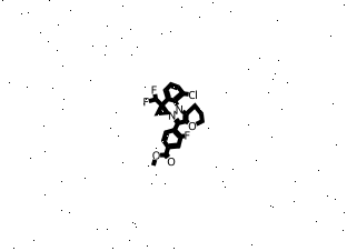 COC(=O)c1ccc(-c2nn(-c3c(Cl)cccc3C3(C(F)F)CC3)c3c2OCCC3)c(F)c1